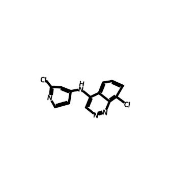 Clc1cc(Nc2cnnc3c(Cl)cccc23)ccn1